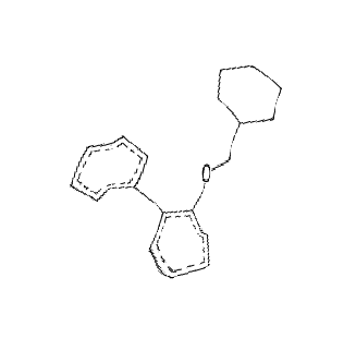 c1ccc(-c2ccccc2OCC2CCCCC2)cc1